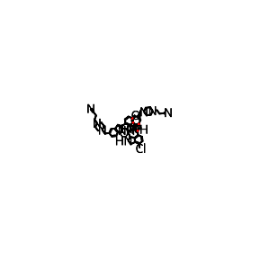 N#CCCN1CCN(Cc2ccc3[nH]c(-c4ccc(Cl)c5c4C(C(=O)C4NCc6c(Cl)ccc(-c7cc8cc(CN9CCN(CCC#N)CC9)ccc8[nH]7)c64)NC5)cc3c2)CC1